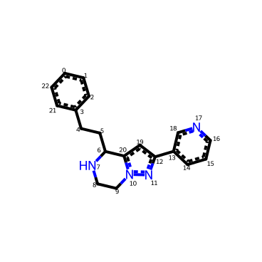 c1ccc(CCC2NCCn3nc(-c4cccnc4)cc32)cc1